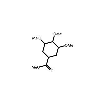 COC(=O)C1CC(OC)C(OC)C(OC)C1